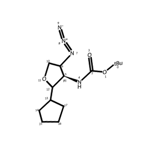 CC(C)(C)OC(=O)N[C@@H]1C(N=[N+]=[N-])COC1C1CCCC1